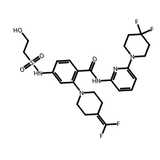 O=C(Nc1cccc(N2CCC(F)(F)CC2)n1)c1ccc(NS(=O)(=O)CCO)cc1N1CCC(=C(F)F)CC1